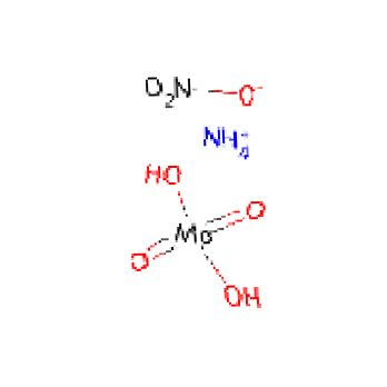 O=[N+]([O-])[O-].[NH4+].[O]=[Mo](=[O])([OH])[OH]